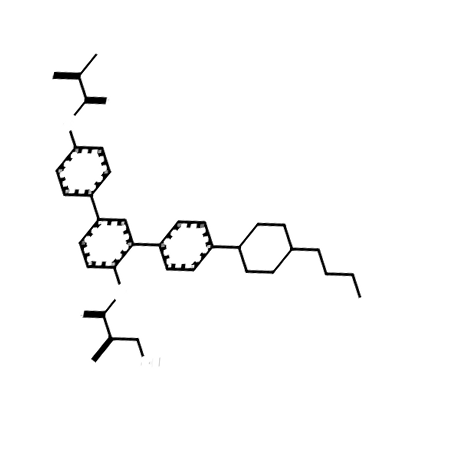 C=C(C)C(=O)Oc1ccc(-c2ccc(OC(=O)C(=C)CO)c(-c3ccc(C4CCC(CCCC)CC4)cc3)c2)cc1